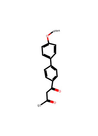 CCCCCCOc1ccc(-c2ccc(C(=O)CC(=O)CC)cc2)cc1